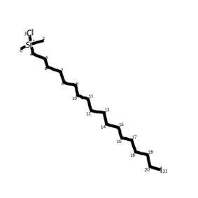 C[Si](C)(Cl)CCCCCCCCCCCCCCCCCI